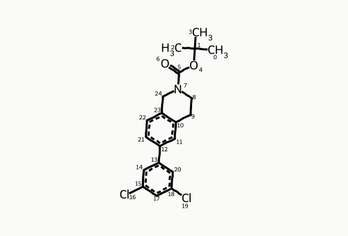 CC(C)(C)OC(=O)N1CCc2cc(-c3cc(Cl)cc(Cl)c3)ccc2C1